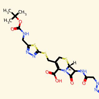 CC(C)(C)OC(=O)NCc1nnc(SCC2=C(C(=O)O)N3C(=O)C(NC(=O)Cn4cnnn4)[C@H]3SC2)s1